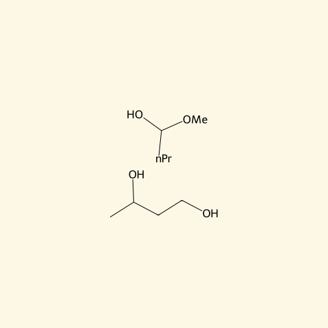 CC(O)CCO.CCCC(O)OC